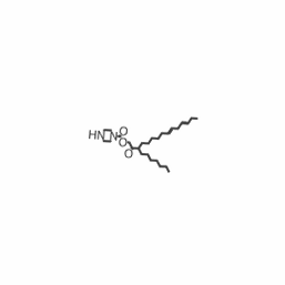 CCC=CCC=CCCCCCC(CCCCCCC)C(=O)COC(=O)N1CCNCC1